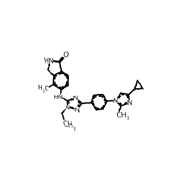 CCn1nc(-c2ccc(-n3cc(C4CC4)nc3C)cc2)nc1Nc1ccc2c(c1C)CNC2=O